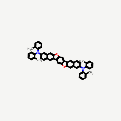 Cc1ccccc1N(c1ccc2cc3c(cc2c1)oc1cc2c(cc13)oc1cc3cc(N(c4ccccc4C)c4ccccc4C)ccc3cc12)c1ccccc1C